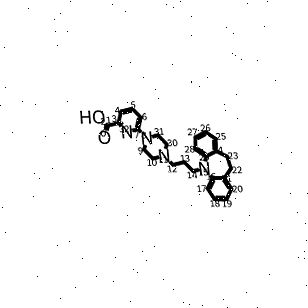 O=C(O)c1cccc(N2CCN(CCCN3c4ccccc4CCc4ccccc43)CC2)n1